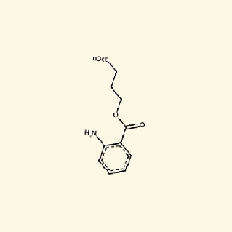 CCCCCCCCCCCOC(=O)c1ccccc1N